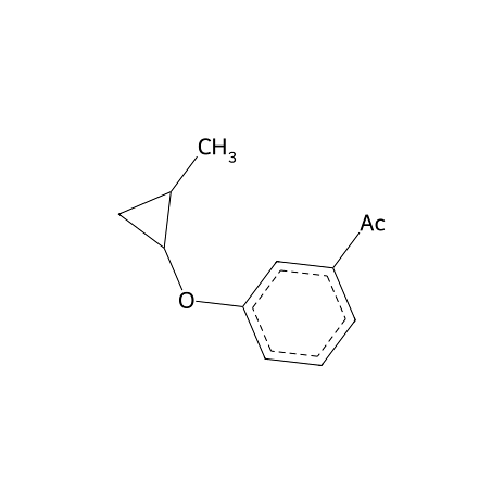 CC(=O)c1cccc(OC2CC2C)c1